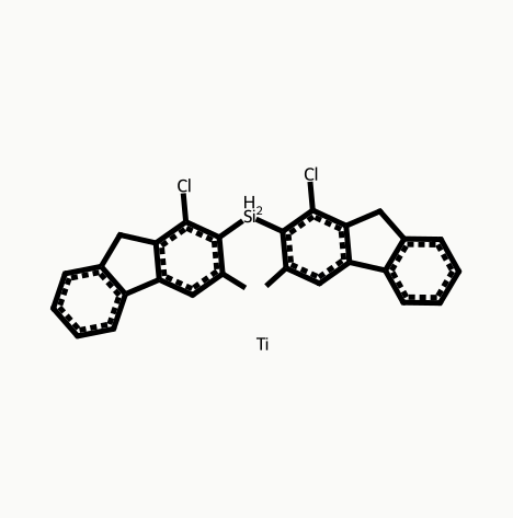 Cc1cc2c(c(Cl)c1[SiH2]c1c(C)cc3c(c1Cl)Cc1ccccc1-3)Cc1ccccc1-2.[Ti]